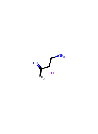 CC(=N)CCN.I